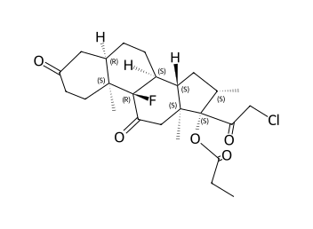 CCC(=O)O[C@@]1(C(=O)CCl)[C@@H](C)C[C@H]2[C@@H]3CC[C@@H]4CC(=O)CC[C@]4(C)[C@@]3(F)C(=O)C[C@@]21C